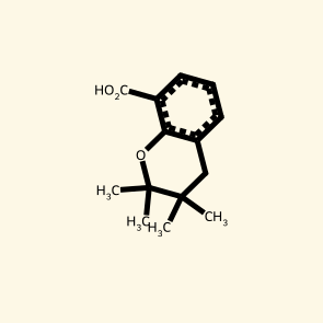 CC1(C)Cc2cccc(C(=O)O)c2OC1(C)C